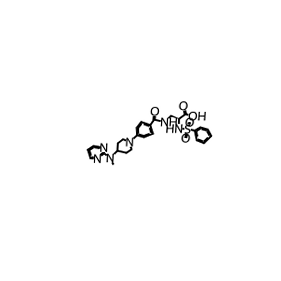 CN(c1ncccn1)C1CCN(c2ccc(C(=O)NC[C@H](NS(=O)(=O)c3ccccc3)C(=O)O)cc2)CC1